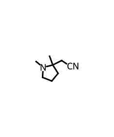 CN1CCCC1(C)CC#N